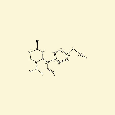 CC(C)C1CC[C@@H](C)CC1N(C=O)c1ccc(CC#N)cc1